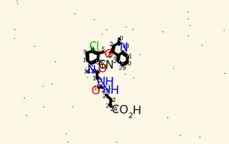 Cc1cc(OCc2c(Cl)ccc(N(C)C(=O)CNC(=O)NCCCC(=O)O)c2C#N)c2ccccc2n1